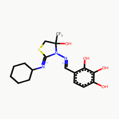 Oc1ccc(/C=N/N2/C(=N/C3CCCCC3)SCC2(O)C(F)(F)F)c(O)c1O